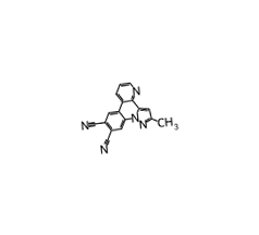 Cc1cc2c3ncccc3c3cc(C#N)c(C#N)cc3n2n1